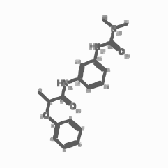 CC(Oc1ccccc1)C(=O)Nc1cccc(NC(=O)N(C)C)c1